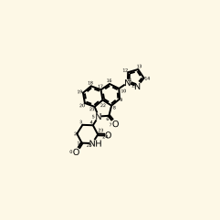 O=C1CCC(N2C(=O)c3cc(-n4cccn4)cc4cccc2c34)C(=O)N1